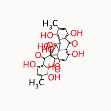 Cc1cc(O)c2c(c1O)C(=O)C13C(=C(O)C4C(O)C1C1C(O)C3C(O)=C3C(=O)c5c(O)cc(C)c(O)c5C(=O)C341)C2=O